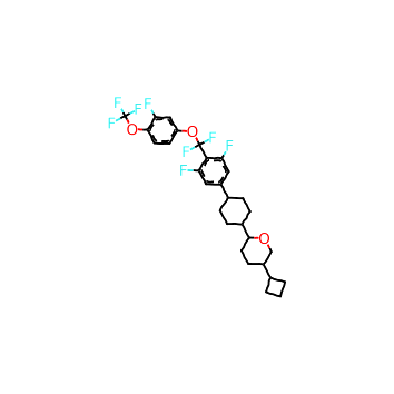 Fc1cc(OC(F)(F)c2c(F)cc(C3CCC(C4CCC(C5CCC5)CO4)CC3)cc2F)ccc1OC(F)(F)F